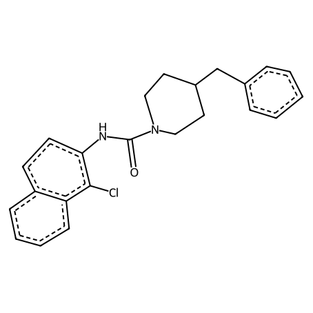 O=C(Nc1ccc2ccccc2c1Cl)N1CCC(Cc2ccccc2)CC1